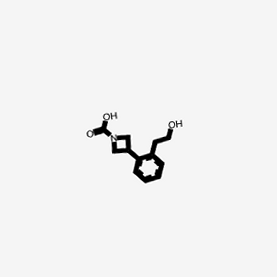 O=C(O)N1CC(c2ccccc2CCO)C1